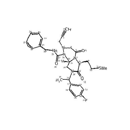 C#CCN1CC(=O)N2[C@@H](CCSC)C(=O)N(C(C)c3ccc(F)cc3)C[C@@H]2N1C(=O)NCc1ccccc1